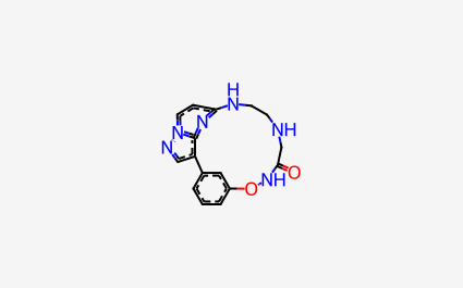 O=C1CNCCNc2ccn3ncc(c3n2)-c2cccc(c2)ON1